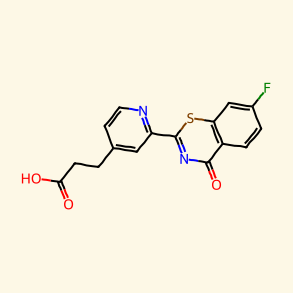 O=C(O)CCc1ccnc(-c2nc(=O)c3ccc(F)cc3s2)c1